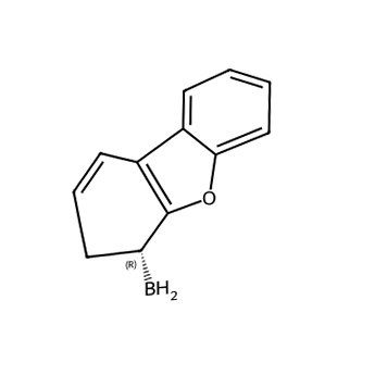 B[C@@H]1CC=Cc2c1oc1ccccc21